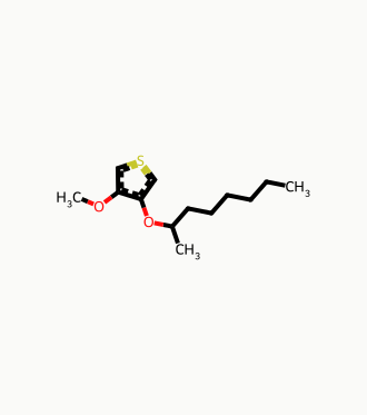 CCCCCCC(C)Oc1cscc1OC